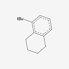 CC(C)(C)c1cccc2c1CCCC2